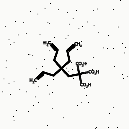 C=CCC(CC=C)(CC=C)CC(C(=O)O)(C(=O)O)C(=O)O